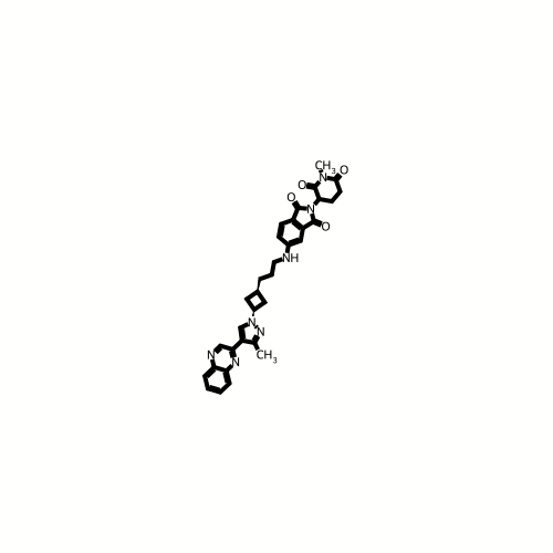 Cc1nn([C@H]2C[C@H](CCCNc3ccc4c(c3)C(=O)N(C3CCC(=O)N(C)C3=O)C4=O)C2)cc1-c1cnc2ccccc2n1